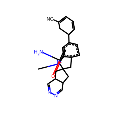 CN1C(=O)C2(N=C1N)c1cc(C3C=CC=C(C#N)C3)ccc1CC21CC2C=NN=CC2C1